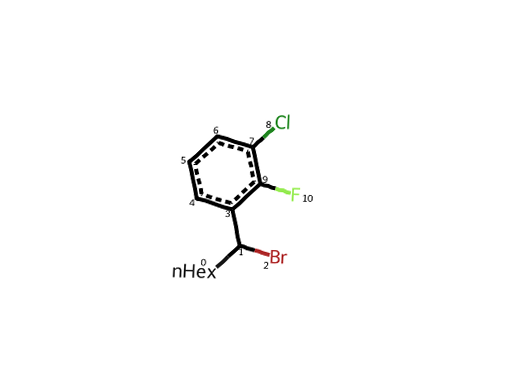 CCCCCCC(Br)c1cccc(Cl)c1F